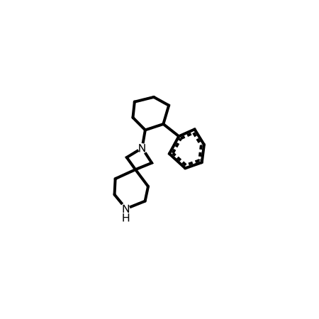 c1ccc(C2CCCCC2N2CC3(CCNCC3)C2)cc1